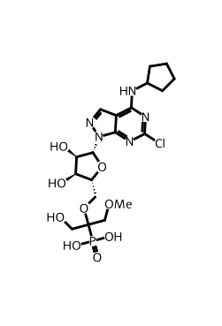 COCC(CO)(OC[C@H]1O[C@@H](n2ncc3c(NC4CCCC4)nc(Cl)nc32)[C@H](O)[C@@H]1O)P(=O)(O)O